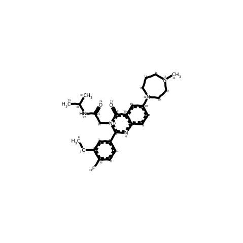 COc1cc(-c2nc3ccc(N4CCCN(C)CC4)cc3c(=O)n2CC(=O)NC(C)C)ccc1F